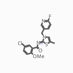 COc1ccc(Cl)cc1C(=O)/N=c1\sc(C)cn1Cc1ccc(F)nc1